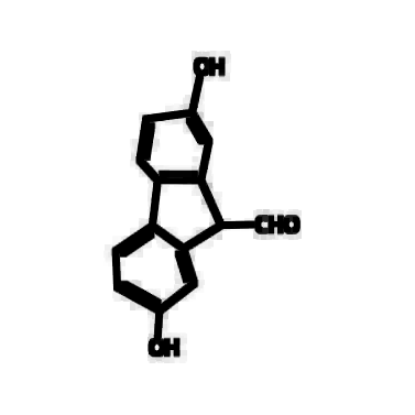 O=CC1c2cc(O)ccc2-c2ccc(O)cc21